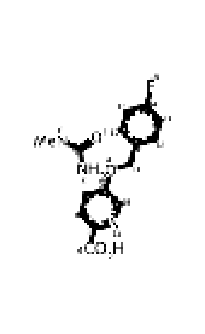 CNC(N)=O.O=C(O)c1ccc(OCc2ccc(F)cc2)cn1